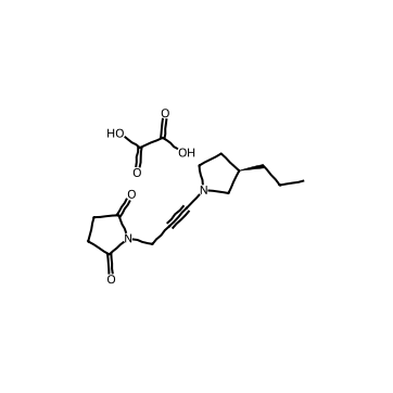 CCC[C@@H]1CCN(C#CCN2C(=O)CCC2=O)C1.O=C(O)C(=O)O